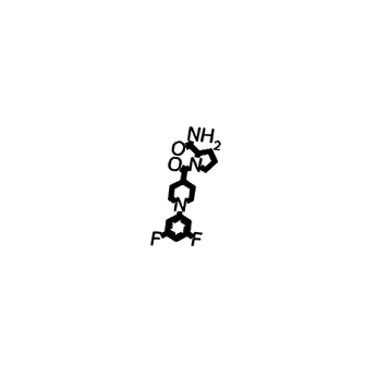 NC(=O)C1CCCN1C(=O)C1CCN(c2cc(F)cc(F)c2)CC1